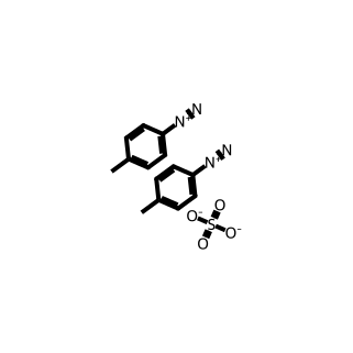 Cc1ccc([N+]#N)cc1.Cc1ccc([N+]#N)cc1.O=S(=O)([O-])[O-]